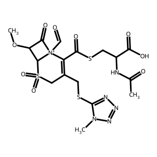 COC1C(=O)[N+]2(C=O)C(C(=O)SCC(NC(C)=O)C(=O)O)=C(CSc3nnnn3C)CS(=O)(=O)C12